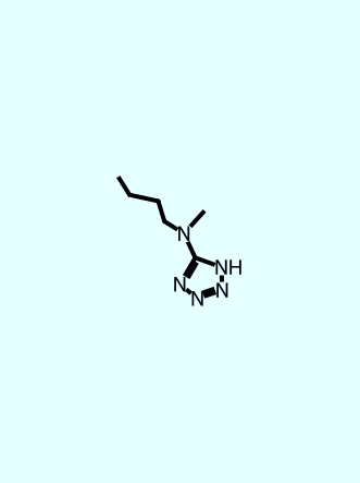 CCCCN(C)c1nnn[nH]1